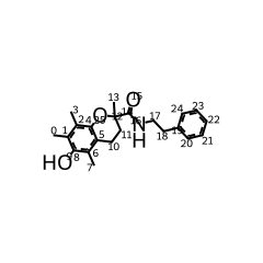 Cc1c(C)c2c(c(C)c1O)CCC(C)(C(=O)NCCc1ccccc1)O2